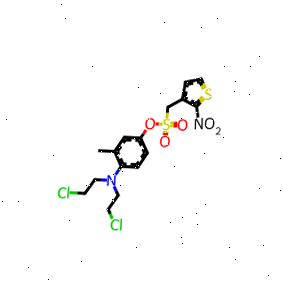 Cc1cc(OS(=O)(=O)Cc2ccsc2[N+](=O)[O-])ccc1N(CCCl)CCCl